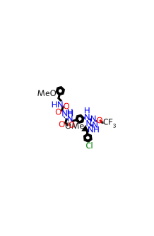 COC(=O)[C@H](CNC(=O)C(=O)NCCc1ccccc1OC)NC(=O)c1ccc(Nc2nc(NC3(c4ccc(Cl)cc4)CC3)nc(OCC(F)(F)F)n2)cc1